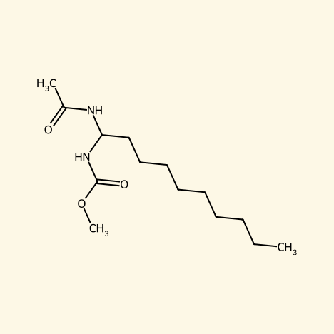 CCCCCCCCCC(NC(C)=O)NC(=O)OC